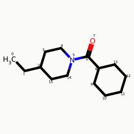 CCC1CCN(C(=O)C2CCCCC2)CC1